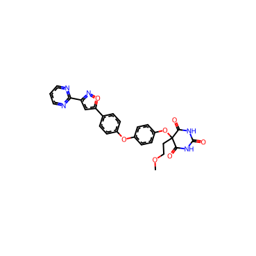 COCCC1(Oc2ccc(Oc3ccc(-c4cc(-c5ncccn5)no4)cc3)cc2)C(=O)NC(=O)NC1=O